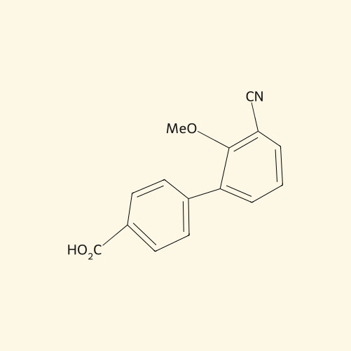 COc1c(C#N)cccc1-c1ccc(C(=O)O)cc1